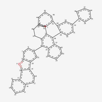 C1=Cc2c(c(-c3ccc4oc5c6ccccc6ccc5c4c3)c3ccccc3c2-c2ccc(-c3ccccc3)cc2-c2ccccc2)CC1